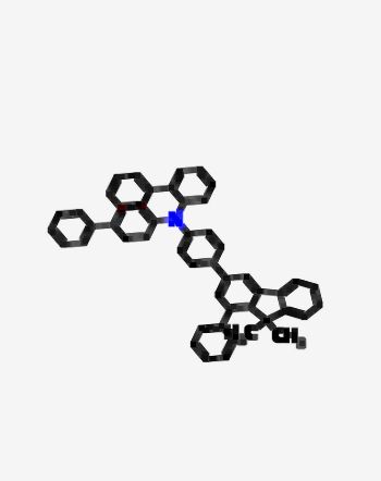 CC1(C)c2ccccc2-c2cc(-c3ccc(N(c4ccc(-c5ccccc5)cc4)c4ccccc4-c4ccccc4)cc3)cc(-c3ccccc3)c21